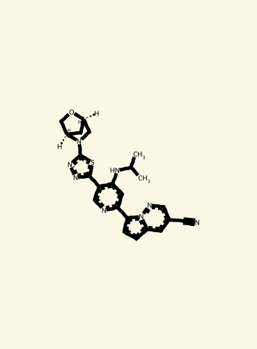 CC(C)Nc1cc(-c2ccc3cc(C#N)cnn23)ncc1-c1nnc(N2C[C@H]3C[C@@H]2CO3)s1